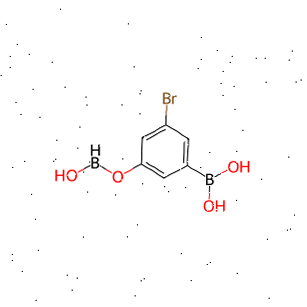 OBOc1cc(Br)cc(B(O)O)c1